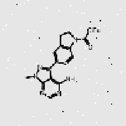 CC(C)COC(=O)N1CCc2cc(-c3nn(C)c4ncnc(N)c34)ccc21